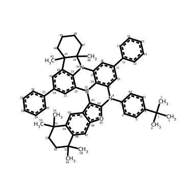 CC(C)(C)c1ccc(N2c3cc(-c4ccccc4)cc4c3B(c3cc(-c5ccccc5)cc5c3N4C3(C)CCCCC53C)c3c2oc2cc4c(cc32)C(C)(C)CCC4(C)C)cc1